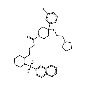 O=C(CCCC1CCCCN1S(=O)(=O)c1ccc2ccccc2c1)N1CCC(OCCN2CCCC2)(c2cccc(F)c2)CC1